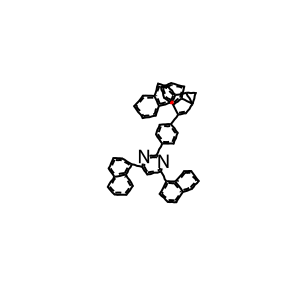 C1=C(c2ccc(-c3nc(-c4cccc5ccccc45)cc(-c4cccc5ccccc45)n3)cc2)c2c(ccc3ccccc23)C2CC12c1ccccc1